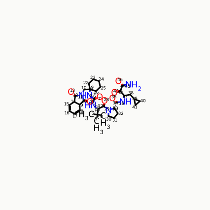 CC(C)(C)[C@H](NC(=O)NC1(CN2C(=O)C3C=CC=CC3C2=O)CCCCC1)C(=O)N1CCC[C@H]1C(=O)NC(CC1CC1)C(=O)C(N)=O